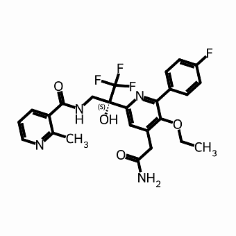 CCOc1c(CC(N)=O)cc([C@@](O)(CNC(=O)c2cccnc2C)C(F)(F)F)nc1-c1ccc(F)cc1